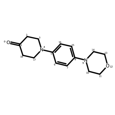 O=C1CCN(c2ccc(N3CCOCC3)cc2)CC1